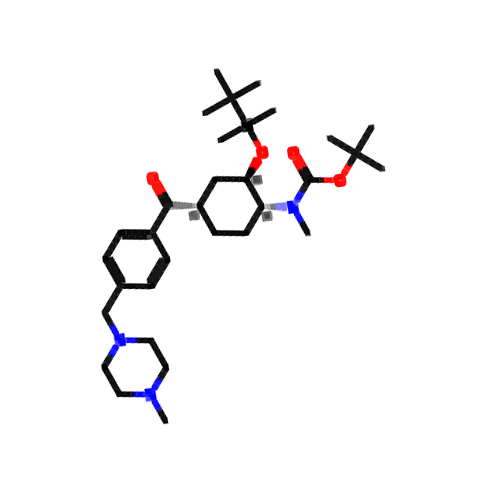 CN1CCN(Cc2ccc(C(=O)[C@H]3CC[C@@H](N(C)C(=O)OC(C)(C)C)[C@H](O[Si](C)(C)C(C)(C)C)C3)cc2)CC1